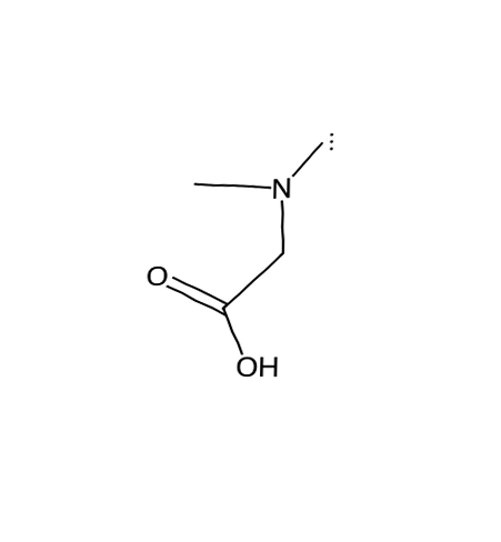 [C]N(C)CC(=O)O